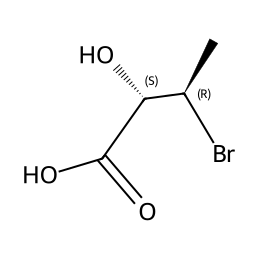 C[C@@H](Br)[C@@H](O)C(=O)O